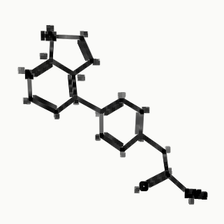 CNC(=O)Cc1ccc(-c2ccnc3[nH]ccc23)cc1